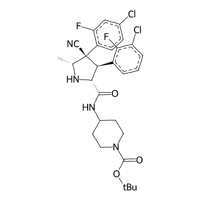 C[C@H]1N[C@@H](C(=O)NC2CCN(C(=O)OC(C)(C)C)CC2)[C@H](c2cccc(Cl)c2F)[C@@]1(C#N)c1ccc(Cl)cc1F